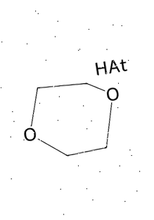 C1COCCO1.[AtH]